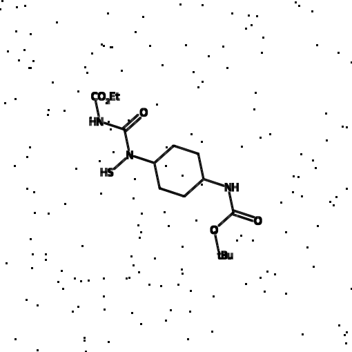 CCOC(=O)NC(=O)N(S)C1CCC(NC(=O)OC(C)(C)C)CC1